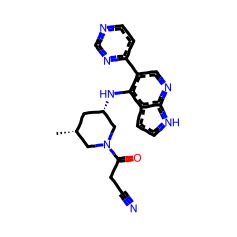 C[C@@H]1C[C@H](Nc2c(-c3ccncn3)cnc3[nH]ccc23)CN(C(=O)CC#N)C1